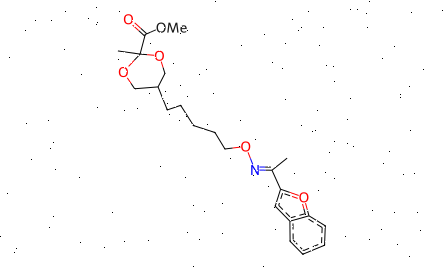 COC(=O)C1(C)OCC(CCCCCON=C(C)c2cc3ccccc3o2)CO1